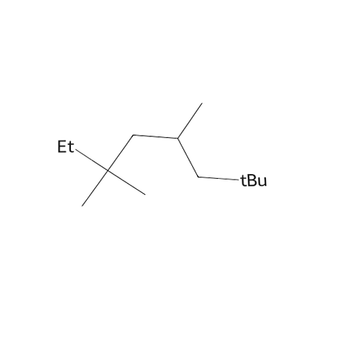 CCC(C)(C)CC(C)CC(C)(C)C